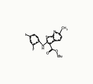 Cc1ccc2c(C(=O)OC(C)(C)C)c(Nc3ccc(I)cc3F)sc2n1